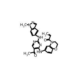 C=CC(=O)N1CCOc2ccc(Nc3nc(Nc4ccc5c(cnn5C)c4)ncc3C(C)=O)cc21